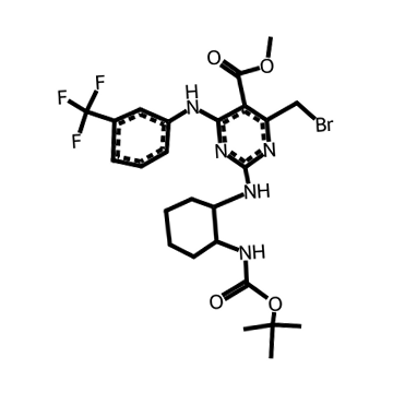 COC(=O)c1c(CBr)nc(NC2CCCCC2NC(=O)OC(C)(C)C)nc1Nc1cccc(C(F)(F)F)c1